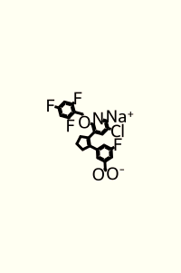 O=C([O-])c1cc(F)cc(C2=C(c3cc(Cl)cnc3OCc3c(F)cc(F)cc3F)CCC2)c1.[Na+]